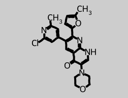 Cc1cc(-c2cc3c(=O)c(N4CCOCC4)c[nH]c3nc2-c2ccc(C)o2)cc(Cl)n1